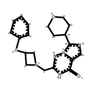 O=c1[nH]c(CN2CC(Oc3ccccc3)C2)nn2c(C3CCOCC3)ncc12